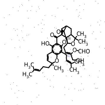 CC(C)=CCC[C@@]1(C)C=Cc2c(O)c3c(c(CC=C(C)C)c2O1)O[C@]12C(=CC4CC1C(C)(C)OC2(C/C=C(/CO)OC=O)C4=O)C3=O